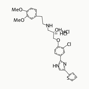 COc1ccc(CCNC[C@H](O)COc2ccc(-c3nc(-c4cccs4)c[nH]3)cc2Cl)cc1OC.Cl.Cl